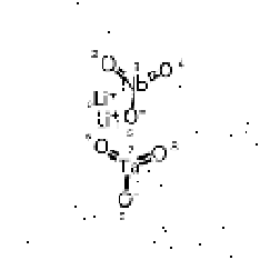 [Li+].[Li+].[O]=[Nb](=[O])[O-].[O]=[Ta](=[O])[O-]